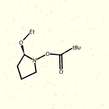 CCO[C@@H]1CCCN1OC(=O)C(C)(C)C